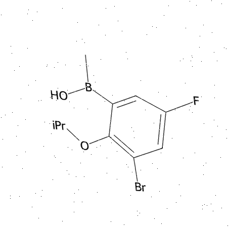 CB(O)c1cc(F)cc(Br)c1OC(C)C